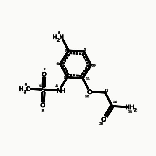 CS(=O)(=O)Nc1cc(N)ccc1OCC(N)=O